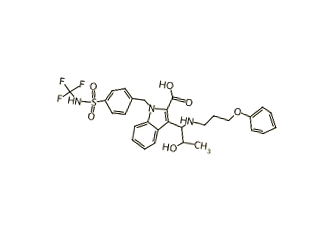 CC(O)C(NCCCOc1ccccc1)c1c(C(=O)O)n(Cc2ccc(S(=O)(=O)NC(F)(F)F)cc2)c2ccccc12